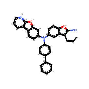 C/C=C\c1c(N)oc2ccc(N(c3ccc(-c4ccccc4)cc3)c3ccc4c(c3)oc3ncccc34)cc12